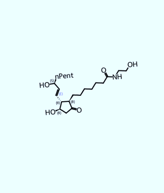 CCCCC[C@H](O)/C=C/[C@H]1[C@H](O)CC(=O)[C@@H]1CCCCCCC(=O)NCCO